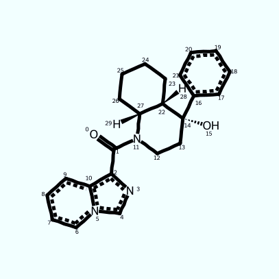 O=C(c1ncn2ccccc12)N1CC[C@](O)(c2ccccc2)[C@H]2CCCC[C@H]21